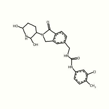 Cc1ccc(NC(=O)NCc2ccc3c(c2)CN(C2CCC(O)NC2O)C3=O)cc1Cl